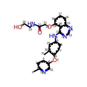 Cc1ccc(Oc2ccc(Nc3ncnc4cccc(OCC(=O)NCCO)c34)cc2C)cn1